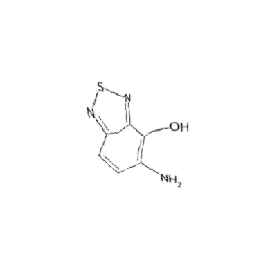 Nc1ccc2nsnc2c1O